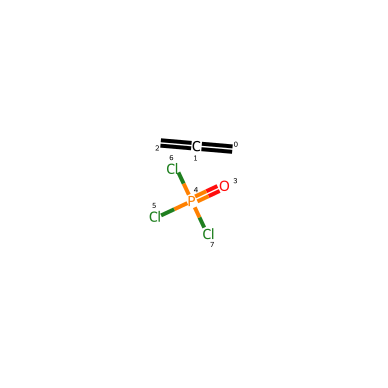 C=C=C.O=P(Cl)(Cl)Cl